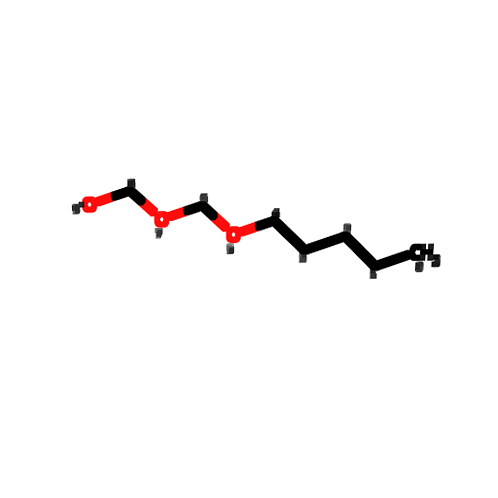 CCCCCOCOC[O]